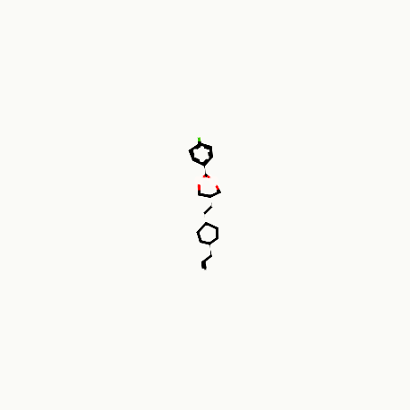 C=CC[C@H]1CC[C@H](CC[C@H]2CO[C@H](c3ccc(F)cc3)OC2)CC1